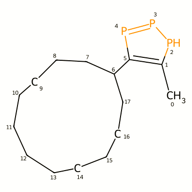 Cc1[pH]ppc1C1CCCCCCCCCCC1